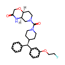 O=C1CO[C@H]2CCN(C(=O)N3CCC([C@H](c4ccccc4)c4cccc(OCCF)c4)CC3)C[C@H]2N1